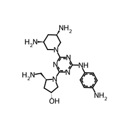 NC[C@@H]1C[C@@H](O)CN1c1nc(Nc2ccc(N)cc2)nc(N2C[C@H](N)C[C@H](N)C2)n1